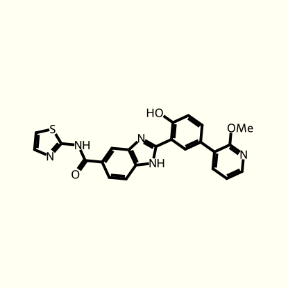 COc1ncccc1-c1ccc(O)c(-c2nc3cc(C(=O)Nc4nccs4)ccc3[nH]2)c1